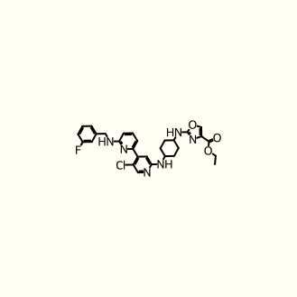 CCOC(=O)c1coc(NC2CCC(Nc3cc(-c4cccc(NCc5cccc(F)c5)n4)c(Cl)cn3)CC2)n1